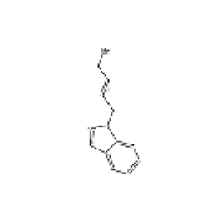 BrC/C=C/CC1[C]=Cc2ccccc21